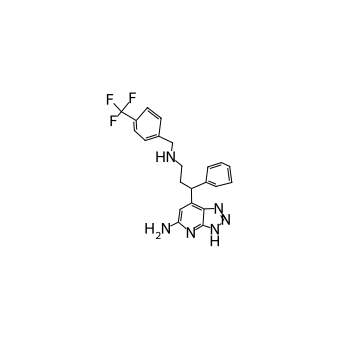 Nc1cc(C(CCNCc2ccc(C(F)(F)F)cc2)c2ccccc2)c2nn[nH]c2n1